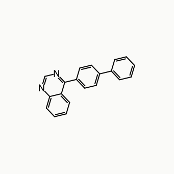 c1ccc(-c2ccc(-c3ncnc4ccccc34)cc2)cc1